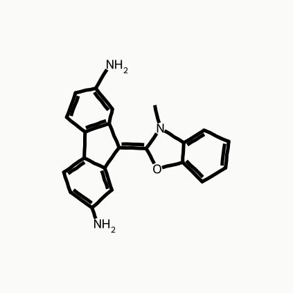 CN1C(=C2c3cc(N)ccc3-c3ccc(N)cc32)Oc2ccccc21